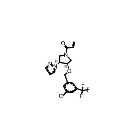 C=CC(=O)N1C[C@@H](n2cccn2)[C@H](OCc2cc(Cl)cc(C(F)(F)F)c2)C1